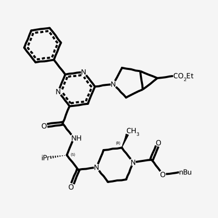 CCCCOC(=O)N1CCN(C(=O)[C@@H](NC(=O)c2cc(N3CC4C(C3)C4C(=O)OCC)nc(-c3ccccc3)n2)C(C)C)C[C@H]1C